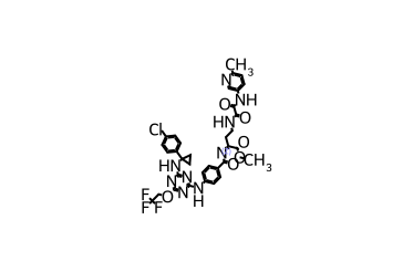 COC(=O)/C(CCNC(=O)C(=O)Nc1ccc(C)nc1)=N\C(=O)c1ccc(Nc2nc(NC3(c4ccc(Cl)cc4)CC3)nc(OCC(F)(F)F)n2)cc1